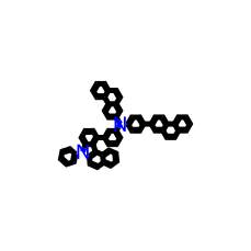 c1ccc(-n2c3cccc(-c4cccc(N(c5ccc(-c6ccc7c(ccc8ccccc87)c6)cc5)c5ccc6c(ccc7ccccc76)c5)c4)c3c3c4ccccc4ccc32)cc1